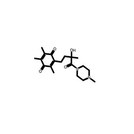 CC1=C(C)C(=O)C(CCC(C)(O)C(=O)N2CCN(C)CC2)=C(C)C1=O